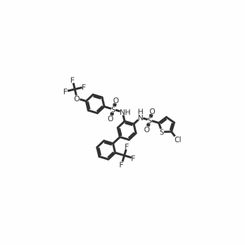 O=S(=O)(Nc1cc(-c2ccccc2C(F)(F)F)ccc1NS(=O)(=O)c1ccc(Cl)s1)c1ccc(OC(F)(F)F)cc1